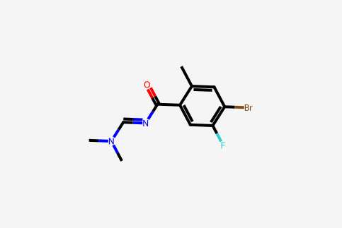 Cc1cc(Br)c(F)cc1C(=O)N=CN(C)C